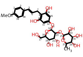 COc1ccc(/C=C/Cc2c(O)cc(O[C@@H]3OC(CO)[C@@H](O)[C@@H](O)C3O[C@@H]3OC(C)[C@H](O)[C@H](O)C3O)cc2O)cc1